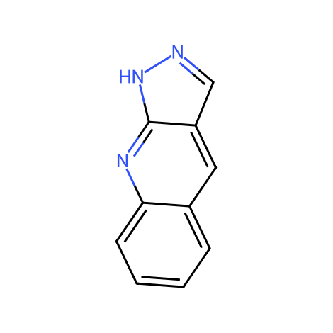 c1ccc2nc3[nH]ncc3cc2c1